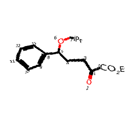 CCOC(=O)C(=O)CCC(OC(C)C)c1ccccc1